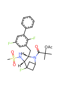 CC(=O)OC(C)(C)C(=O)N1C2CC(F)(C2)[C@H](NS(C)(=O)=O)[C@@H]1Cc1cc(F)cc(-c2ccccc2)c1F